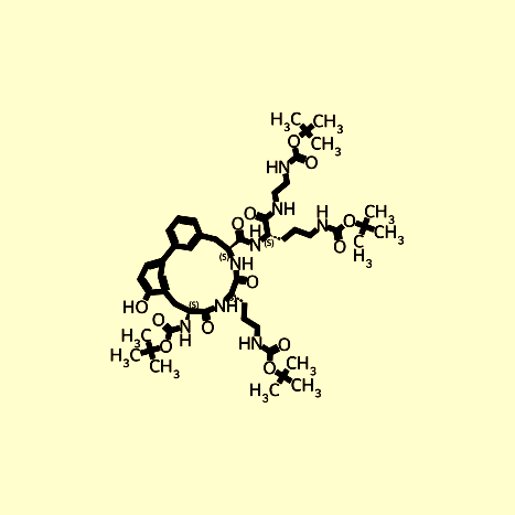 CC(C)(C)OC(=O)NCCC[C@H](NC(=O)[C@@H]1Cc2cccc(c2)-c2ccc(O)c(c2)C[C@H](NC(=O)OC(C)(C)C)C(=O)N[C@@H](CCCNC(=O)OC(C)(C)C)C(=O)N1)C(=O)NCCNC(=O)OC(C)(C)C